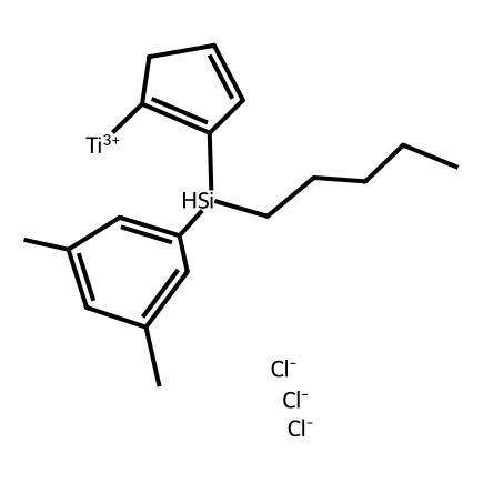 CCCCC[SiH](C1=[C]([Ti+3])CC=C1)c1cc(C)cc(C)c1.[Cl-].[Cl-].[Cl-]